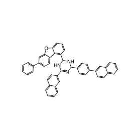 c1ccc(-c2ccc3c(c2)oc2cccc(C4NC(c5ccc6ccccc6c5)=NC(c5ccc(-c6ccc7ccccc7c6)cc5)N4)c23)cc1